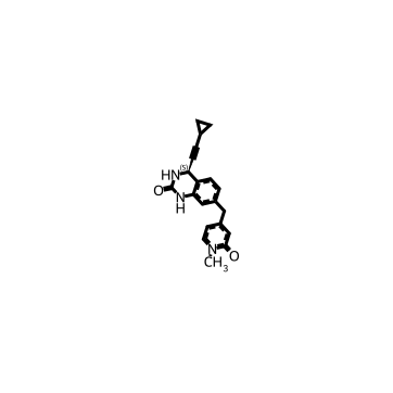 Cn1ccc(Cc2ccc3c(c2)NC(=O)N[C@H]3C#CC2CC2)cc1=O